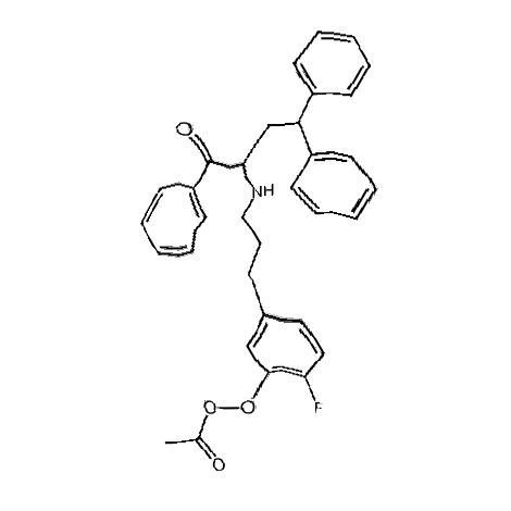 CC(=O)OOc1cc(CCCNC(CC(c2ccccc2)c2ccccc2)C(=O)c2ccccc2)ccc1F